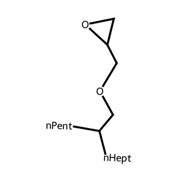 CCCCCCCC(CCCCC)COCC1CO1